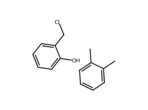 Cc1ccccc1C.Oc1ccccc1CCl